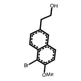 COc1ccc2cc(CCO)ccc2c1Br